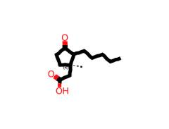 CCCCCC1C(=O)CC[C@]1(C)CC(=O)O